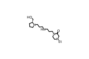 CCN1CCN(CCCNCCCN2CCC[C@H]2CO)C(=O)C1